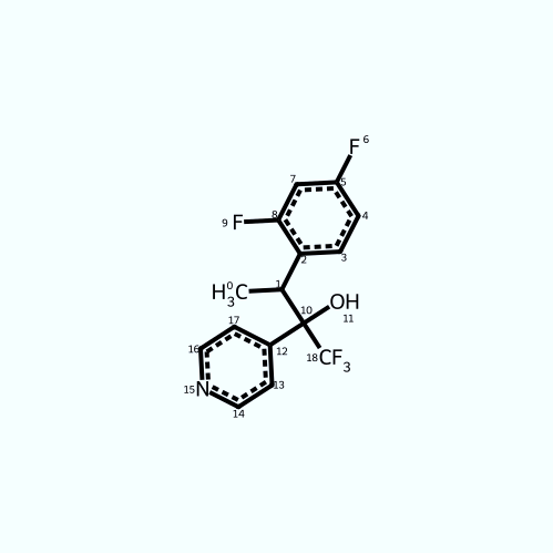 CC(c1ccc(F)cc1F)C(O)(c1ccncc1)C(F)(F)F